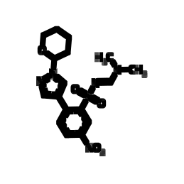 CN(C)/C=N/S(=O)(=O)c1cc([N+](=O)[O-])ccc1-c1cnn(C2CCCCO2)c1